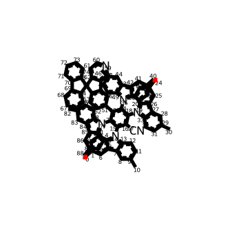 Cc1ccc2c(c1)c1cc(C)ccc1n2-c1c(C#N)c(-n2c3ccc(C)cc3c3cc(C)ccc32)c(-n2c3ccc(C)cc3c3cc(C)ccc32)c(-c2ccc3c(c2)-c2cnccc2C32c3ccccc3-c3ccccc32)c1-n1c2ccc(C)cc2c2cc(C)ccc21